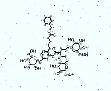 O=C(CCCCC(=O)N(CC(=O)O[C@H]1O[C@H](CO)[C@@H](O)[C@H](O)[C@@H]1O)CC(=O)N(CCO[C@H]1O[C@H](CO)[C@@H](O)[C@H](O)[C@@H]1O)CCO[C@H]1O[C@H](CO)[C@@H](O)[C@H](O)[C@@H]1O)OCc1ccccc1